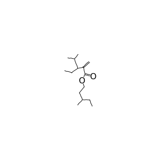 C=C(C(=O)OCCC(C)CC)C(CC)C(C)C